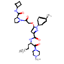 O=C(O)CCC(NC(=O)c1cc(OCC(=O)N2CCCC2C(=O)NC2CCC2)n(-c2ccc(C(F)(F)F)cc2)n1)C(=O)N1CCN(C(=O)O)CC1